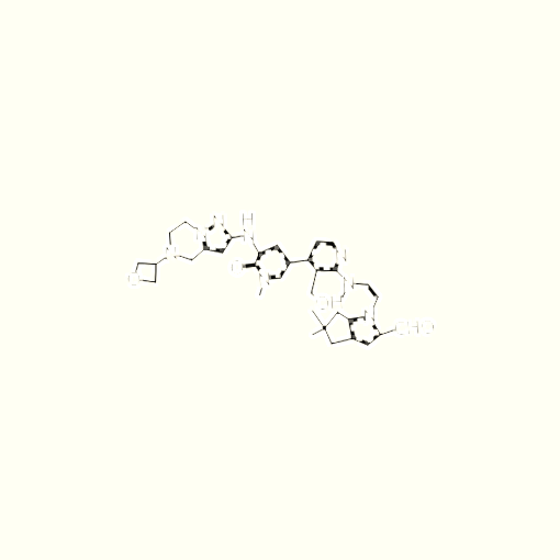 CN(/C=C\n1c(C=O)cc2c1CC(C)(C)C2)c1nccc(-c2cc(Nc3cc4n(n3)CCN(C3COC3)C4)c(=O)n(C)c2)c1CO